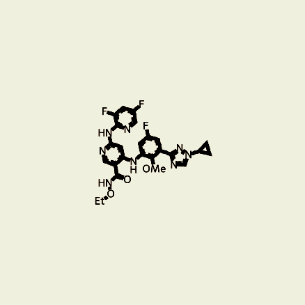 CCONC(=O)c1cnc(Nc2ncc(F)cc2F)cc1Nc1cc(F)cc(-c2ncn(C3CC3)n2)c1OC